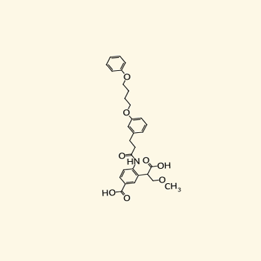 COCC(C(=O)O)c1cc(C(=O)O)ccc1NC(=O)CCc1cccc(OCCCCOc2ccccc2)c1